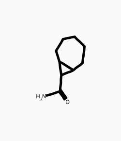 NC(=O)C1C2CCCCCC21